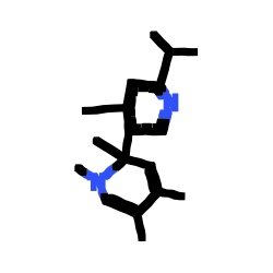 CC1=CN(C)C(C)(c2cnc(C(C)C)cc2C)C=C1C